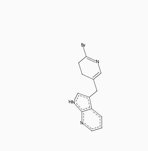 BrC1=NC=C(Cc2c[nH]c3ncccc23)CC1